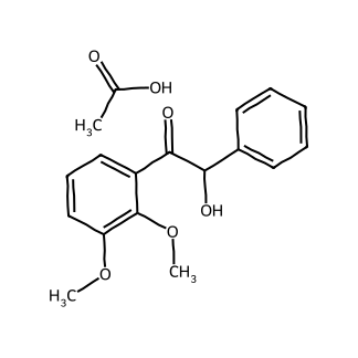 CC(=O)O.COc1cccc(C(=O)C(O)c2ccccc2)c1OC